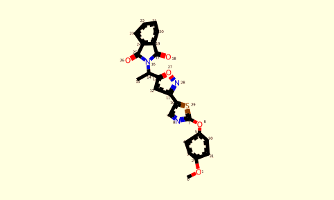 COc1ccc(Oc2ncc(-c3cc(C(C)N4C(=O)c5ccccc5C4=O)on3)s2)cc1